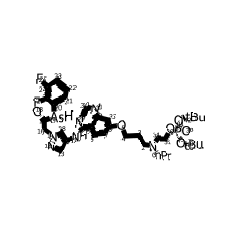 CCCN(CCCOc1ccc2c(Nc3cnn(CC(=O)[AsH]c4cccc(F)c4F)c3)ncnc2c1)CCOP(=O)(OC(C)(C)C)OC(C)(C)C